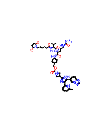 Cc1cccc(-c2nc(C3CN(C(=O)OCc4ccc(NC(=O)C(CCCNC(N)=O)NC(=O)C(NC(=O)CCCCCN5C(=O)C=CC5=O)C(C)C)cc4)C3)[nH]c2-c2ccc3ncnn3c2)n1